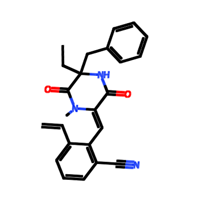 C=Cc1cccc(C#N)c1C=C1C(=O)NC(CC)(Cc2ccccc2)C(=O)N1C